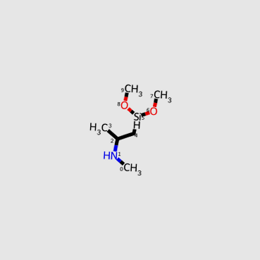 CNC(C)C[SiH](OC)OC